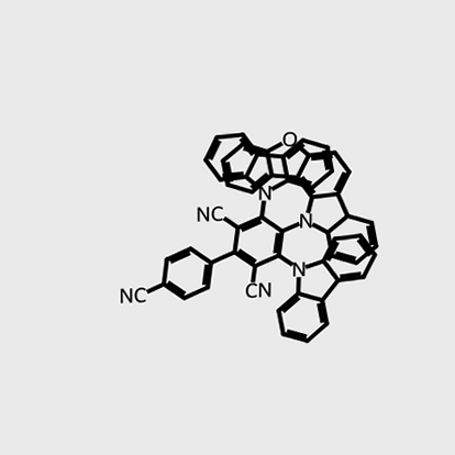 N#Cc1ccc(-c2c(C#N)c(-n3c4ccccc4c4ccccc43)c(N3c4c(ccc5oc6ccccc6c45)C4C=CC=CC43)c(-n3c4ccccc4c4ccccc43)c2C#N)cc1